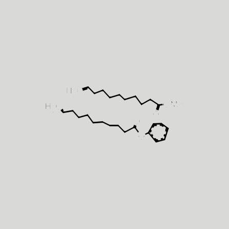 C=CCCCCCCCCC(=O)OC.C=CCCCCCCCCC(=O)Oc1ccccc1